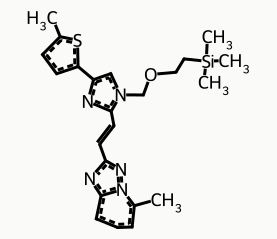 Cc1ccc(-c2cn(COCC[Si](C)(C)C)c(C=Cc3nc4cccc(C)n4n3)n2)s1